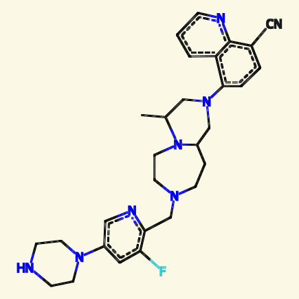 CC1CN(c2ccc(C#N)c3ncccc23)CC2CCN(Cc3ncc(N4CCNCC4)cc3F)CCN12